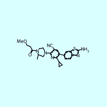 COCCC(=O)N1CCN(c2nc(C3CC3)c(-c3ccc4nc(N)sc4c3)cc2C#N)CC1C